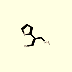 NC/C(=C/Br)c1cccs1